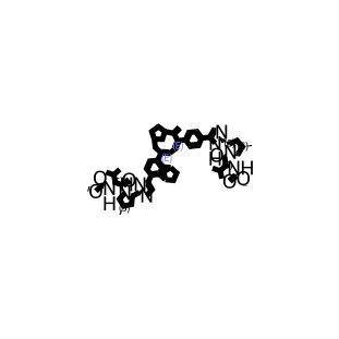 C=C1/C(c2ccc(-c3cnc([C@@H]4C[C@H](C)CN4C(=O)[C@@H](NC(=O)OC)C(C)C)[nH]3)cc2)=C\C=C(\c2ccc(-c3cnc(C4C[C@H](C)CN4C(=O)[C@@H](NC(=O)OC)C(C)C)[nH]3)c3c2C2CCC3C2)CC2CCC1C2